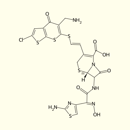 NCc1c(SC=CC2=C(C(=O)O)N3C(=O)C(NC(=O)C(=NO)c4csc(N)n4)[C@@H]3SC2)sc2sc(Cl)cc2c1=O